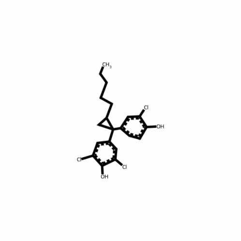 CCCCCC1CC1(c1ccc(O)c(Cl)c1)c1cc(Cl)c(O)c(Cl)c1